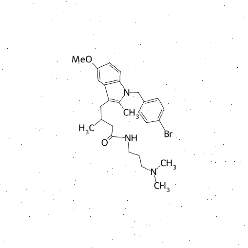 COc1ccc2c(c1)c(CC(C)CC(=O)NCCCN(C)C)c(C)n2Cc1ccc(Br)cc1